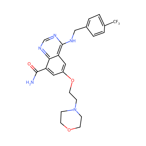 NC(=O)c1cc(OCCN2CCOCC2)cc2c(NCc3ccc(C(F)(F)F)cc3)ncnc12